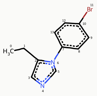 CCc1cncn1-c1ccc(Br)cc1